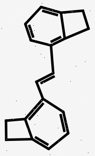 C(=Cc1cccc2c1CC2)c1cccc2c1CC2